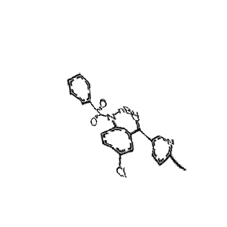 CCCCN(c1ccc(Cl)cc1C(=O)c1ccc(C)nc1)S(=O)(=O)c1ccccc1